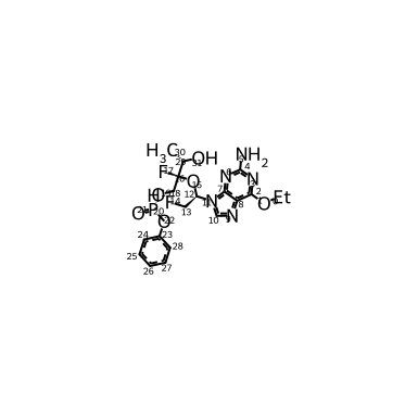 CCOc1nc(N)nc2c1ncn2[C@@H](CF)O[C@](F)(CO[PH](=O)Oc1ccccc1)[C@H](C)O